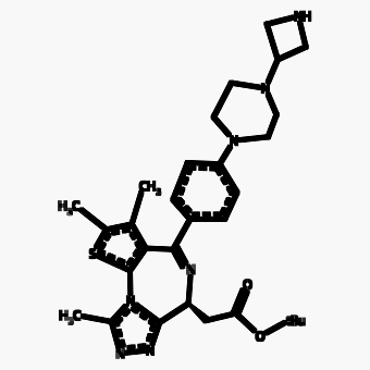 Cc1sc2c(c1C)C(c1ccc(N3CCN(C4CNC4)CC3)cc1)=N[C@@H](CC(=O)OC(C)(C)C)c1nnc(C)n1-2